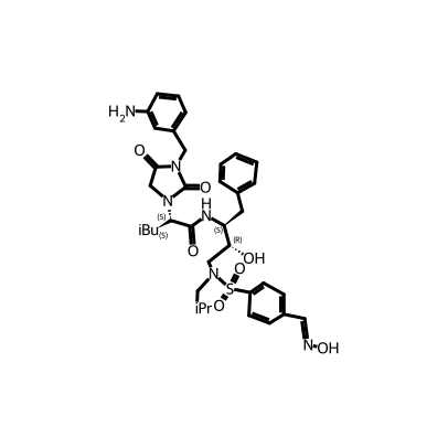 CC[C@H](C)[C@@H](C(=O)N[C@@H](Cc1ccccc1)[C@H](O)CN(CC(C)C)S(=O)(=O)c1ccc(C=NO)cc1)N1CC(=O)N(Cc2cccc(N)c2)C1=O